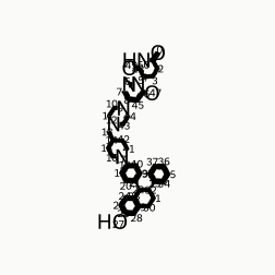 O=C1CCC(n2ncc(N3CCN(CC4CCN(c5ccc([C@@H]6c7ccc(O)cc7CC[C@@H]6c6ccccc6)cc5)CC4)CC3)cc2=O)C(=O)N1